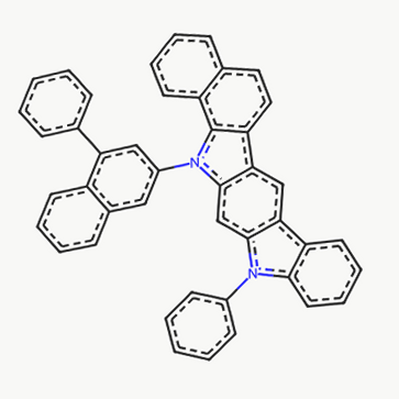 c1ccc(-c2cc(-n3c4cc5c(cc4c4ccc6ccccc6c43)c3ccccc3n5-c3ccccc3)cc3ccccc23)cc1